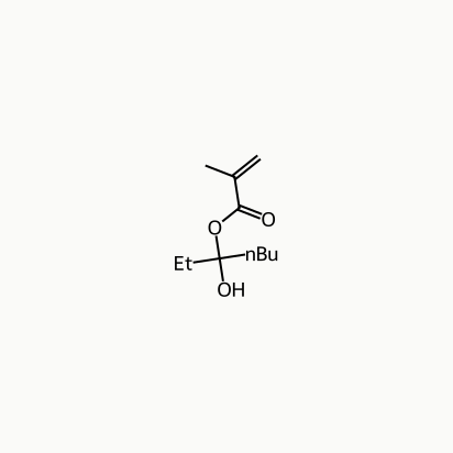 C=C(C)C(=O)OC(O)(CC)CCCC